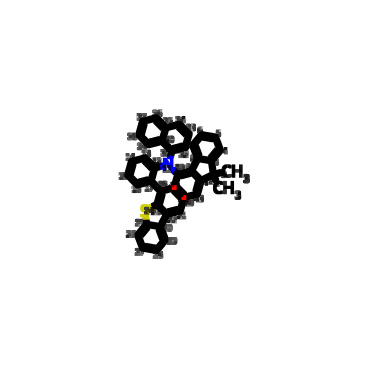 CC1(C)c2ccccc2-c2c(N(c3ccccc3-c3cccc4c3sc3ccccc34)c3cccc4ccccc34)cccc21